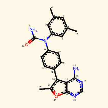 Cc1cc(C)cc(N(C(N)=O)c2ccc(-c3c(C)oc4ncnc(N)c34)cc2)c1